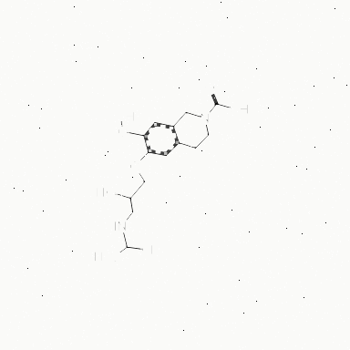 COc1cc2c(cc1OCC(O)CNC(C)C)CCN(C(C)=O)C2